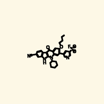 CCCCOc1cc2c(=O)c3c4ccc(C#N)cc4[nH]c3n(C3CCCCC3)c2cc1-c1cncc(S(=O)(=O)F)c1